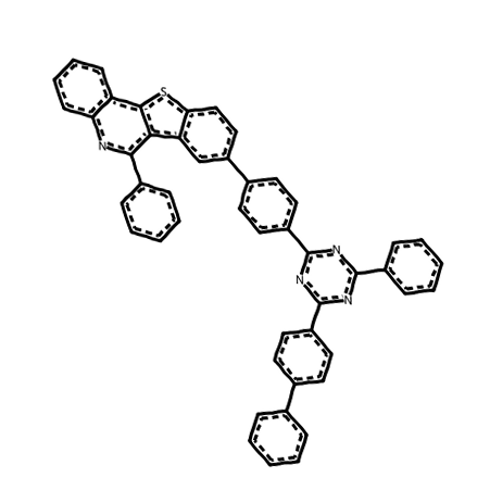 c1ccc(-c2ccc(-c3nc(-c4ccccc4)nc(-c4ccc(-c5ccc6sc7c8ccccc8nc(-c8ccccc8)c7c6c5)cc4)n3)cc2)cc1